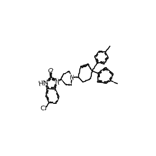 Cc1ccc(C2(c3ccc(C)cc3)C=CC(N3CCC(n4c(=O)[nH]c5cc(Cl)ccc54)CC3)CC2)cc1